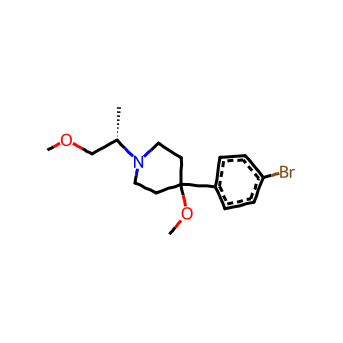 COC[C@H](C)N1CCC(OC)(c2ccc(Br)cc2)CC1